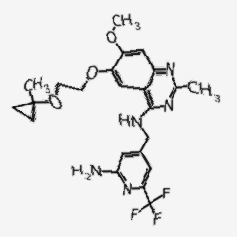 COc1cc2nc(C)nc(NCc3cc(N)nc(C(F)(F)F)c3)c2cc1OCCOC1(C)CC1